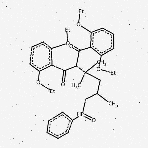 CCOc1cccc(OCC)c1C(=O)C(C(=O)c1c(OCC)cccc1OCC)C(C)(C)CC(C)C[PH](=O)c1ccccc1